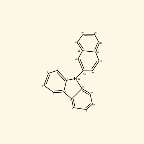 [c]1ccc2c(c1)c1ccccc1n2-c1ccc2ccccc2c1